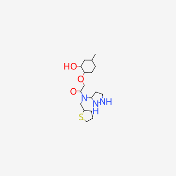 CC1CCC(OCC(=O)N(CC2CCCS2)C2CCNN2)C(O)C1